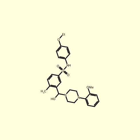 CCOc1ccc(NS(=O)(=O)c2ccc(C)c(C(O)N3CCN(c4ccccc4OC)CC3)c2)cc1